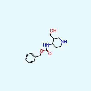 O=C(NC1CCNCC1CO)OCc1ccccc1